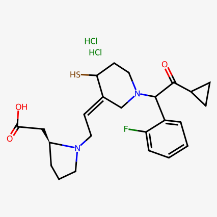 Cl.Cl.O=C(O)C[C@@H]1CCCN1C/C=C1\CN(C(C(=O)C2CC2)c2ccccc2F)CCC1S